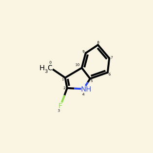 Cc1c(F)[nH]c2ccccc12